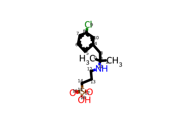 CC(C)(Cc1cccc(Cl)c1)NCCCS(=O)(=O)O